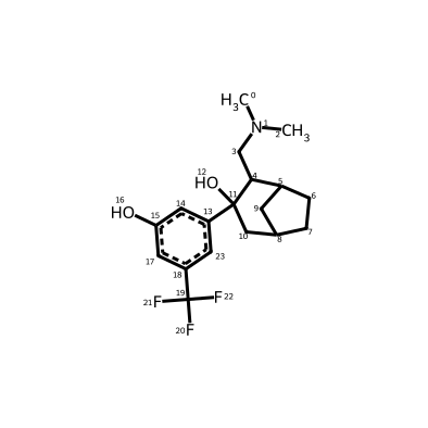 CN(C)CC1C2CCC(C2)CC1(O)c1cc(O)cc(C(F)(F)F)c1